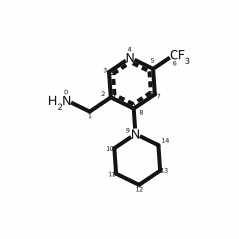 NCc1cnc(C(F)(F)F)cc1N1CCCCC1